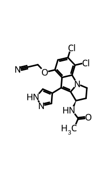 CC(=O)N[C@@H]1CCn2c1c(-c1cn[nH]c1)c1c(OCC#N)cc(Cl)c(Cl)c12